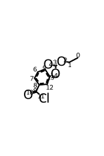 CCOC1Oc2ccc(C(=O)Cl)cc2O1